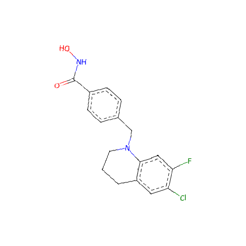 O=C(NO)c1ccc(CN2CCCc3cc(Cl)c(F)cc32)cc1